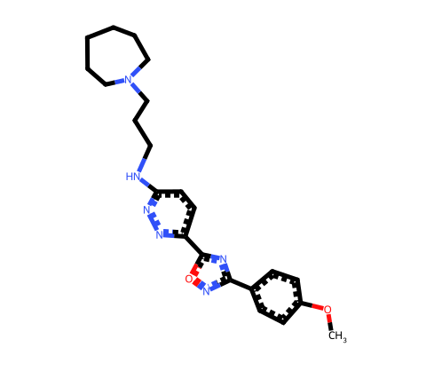 COc1ccc(-c2noc(-c3ccc(NCCCN4CCCCCC4)nn3)n2)cc1